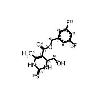 CC1=C(C(=O)OCc2cc(F)cc(F)c2)C(CO)NC(=S)N1